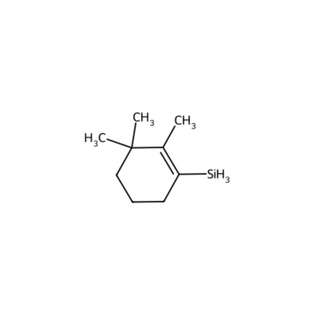 CC1=C([SiH3])CCCC1(C)C